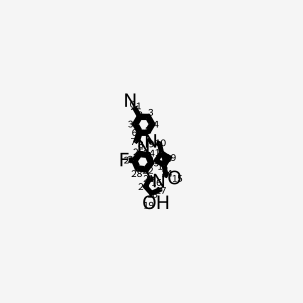 N#Cc1ccc2c(cnn2CC23CC(C(=O)N4C[C@H](O)C[C@H]4c4cccc(F)c4)(C2)C3)c1